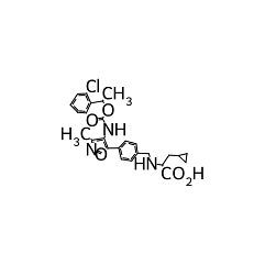 Cc1noc(-c2ccc(CN[C@H](CC3CC3)C(=O)O)cc2)c1NC(=O)O[C@H](C)c1ccccc1Cl